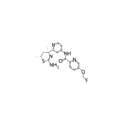 C[C@@H]1C[C@@](C)(c2cc(NC(=O)c3ccc(OCF)cn3)ccn2)N=C(N)S1